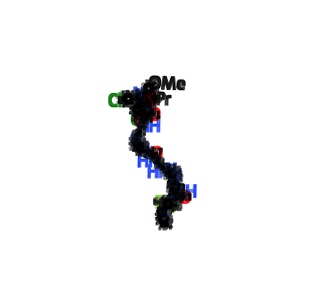 COc1ccc(C2=N[C@@H](c3ccc(Cl)cc3)[C@@H](c3ccc(Cl)cc3)N2C(=O)N2CCN(CC(=O)NCCCN3CC[C@@]4(CCN(CCC(=O)NCCCNc5cc(N6CCC7(CC6)CN(c6cc(F)c(CN8CCC(C)(C)CC8)cc6F)CC(=O)N7)ncn5)C4)C3)C(=O)C2)c(OC(C)C)c1